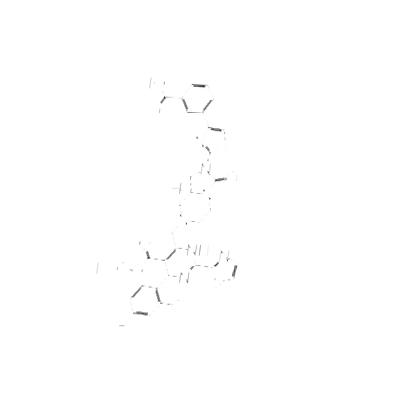 COC(=O)C1=C(CN2CCN3C(=O)N(c4nc(-c5cccc(C(=O)O)c5)cs4)C[C@@H]3C2)NC(c2nccs2)=NC1c1ccc(F)cc1Cl